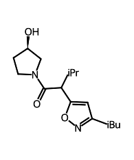 CCC(C)c1cc(C(C(=O)N2CC[C@@H](O)C2)C(C)C)on1